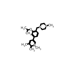 C=C1C(C)=CC(c2ccc(CN3CCN(C)CC3)c(OC(C)C)c2)=CN1C